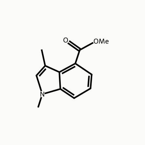 COC(=O)c1cccc2c1c(C)cn2C